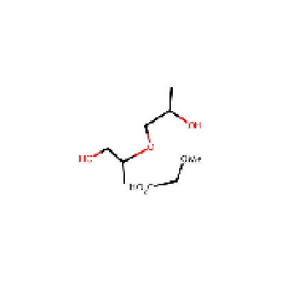 CC(O)COC(C)CO.COCC(=O)O